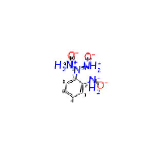 [O-][NH2+]c1ccccc1N([NH2+][O-])[NH2+][O-]